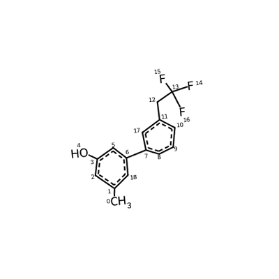 Cc1cc(O)cc(-c2cccc(CC(F)(F)F)c2)c1